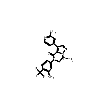 Cc1cc(-c2cnn3c2C(=O)N(c2ccc(C(F)(F)F)c(C)c2)C[C@@H]3C)ccn1